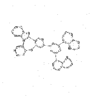 c1cnc2c(-c3cc(-c4cc5c(cn4)-c4nc6ccccc6n4-c4cnccc4S5)cc(-c4cccc5cccnc45)c3)cccc2c1